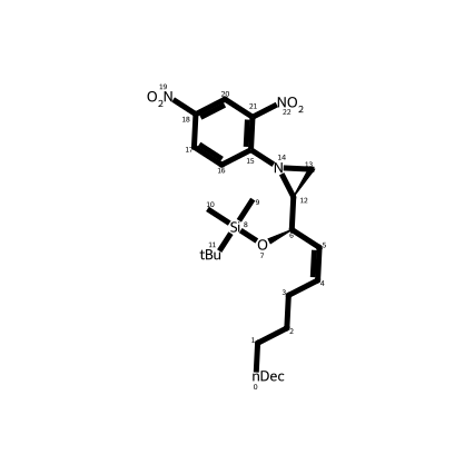 CCCCCCCCCCCCC/C=C\[C@@H](O[Si](C)(C)C(C)(C)C)[C@@H]1CN1c1ccc([N+](=O)[O-])cc1[N+](=O)[O-]